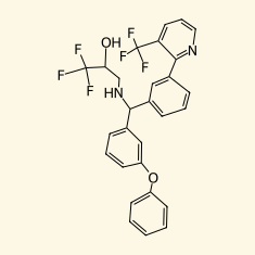 OC(CNC(c1cccc(Oc2ccccc2)c1)c1cccc(-c2ncccc2C(F)(F)F)c1)C(F)(F)F